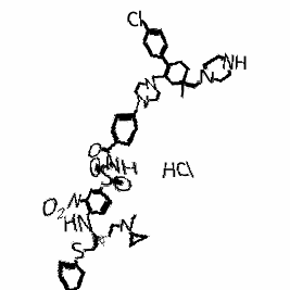 CN(CC[C@H](CSc1ccccc1)Nc1ccc(S(=O)(=O)NC(=O)c2ccc(N3CCN(CC4=C(c5ccc(Cl)cc5)CCC(C)(CN5CCNCC5)C4)CC3)cc2)cc1[N+](=O)[O-])C1CC1.Cl